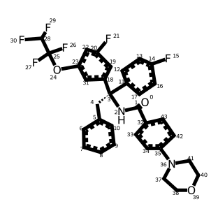 O=C(N[C@](Cc1ccccc1)(c1ccc(F)cc1)c1cc(F)cc(OC(F)(F)C(F)F)c1)c1ccc(N2CCOCC2)cc1